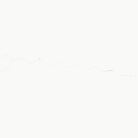 CCCCCCCCCCCCCCCCCCCNCCc1ccccc1